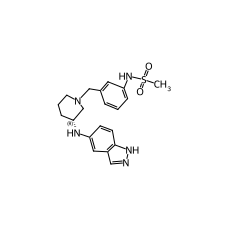 CS(=O)(=O)Nc1cccc(CN2CCC[C@@H](Nc3ccc4[nH]ncc4c3)C2)c1